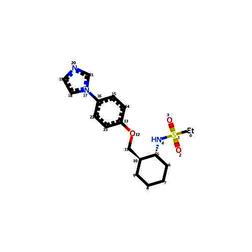 CCS(=O)(=O)N[C@@H]1CCCC[C@H]1COc1ccc(-n2ccnc2)cc1